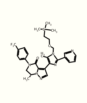 Cc1c(-c2cnn3c2C(=O)N(c2ccc(C(F)(F)F)cc2)C[C@@H]3C)nc(-c2cccnc2)n1COCC[Si](C)(C)C